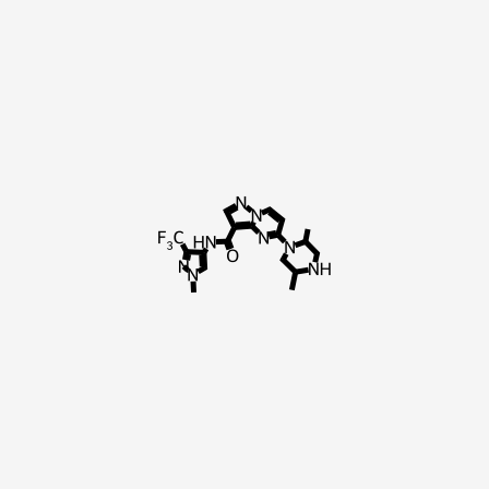 CC1CN(c2ccn3ncc(C(=O)Nc4cn(C)nc4C(F)(F)F)c3n2)C(C)CN1